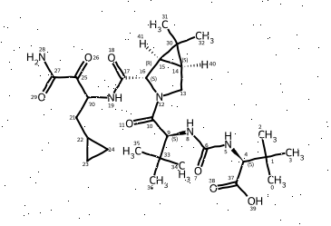 CC(C)(C)[C@H](NC(=O)N[C@H](C(=O)N1C[C@H]2[C@@H]([C@H]1C(=O)NC(CC1CC1)C(=O)C(N)=O)C2(C)C)C(C)(C)C)C(=O)O